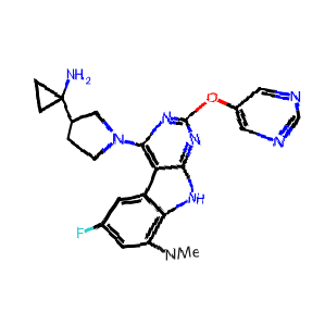 CNc1cc(F)cc2c1[nH]c1nc(Oc3cncnc3)nc(N3CCC(C4(N)CC4)C3)c12